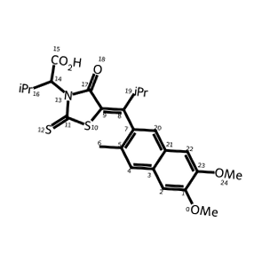 COc1cc2cc(C)c(C(=C3SC(=S)N(C(C(=O)O)C(C)C)C3=O)C(C)C)cc2cc1OC